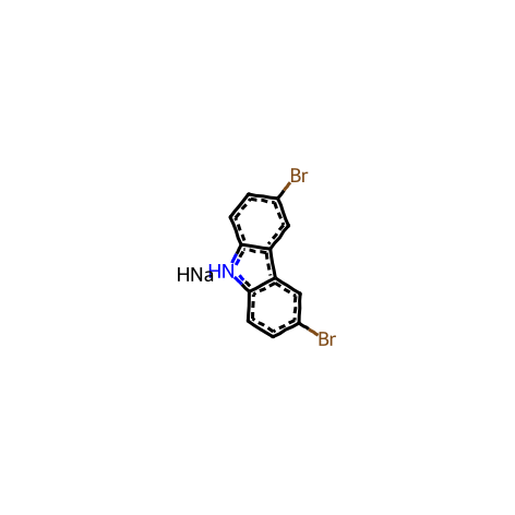 Brc1ccc2[nH]c3ccc(Br)cc3c2c1.[NaH]